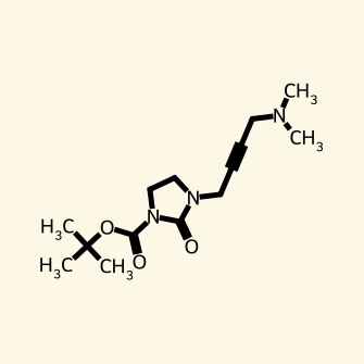 CN(C)CC#CCN1CCN(C(=O)OC(C)(C)C)C1=O